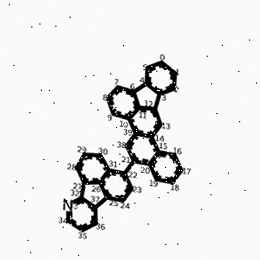 c1ccc2c(c1)-c1cccc3c1c-2cc1c2ccccc2c(-c2ccc4c5c(cccc25)-c2ncccc2-4)cc31